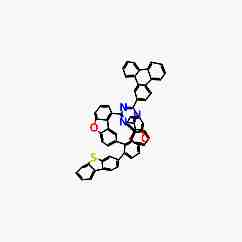 c1ccc(-c2nc(-c3ccc4c5ccccc5c5ccccc5c4c3)nc(-c3cccc4oc5ccc(-c6c(-c7ccc8c(c7)sc7ccccc78)ccc7oc8ccccc8c67)cc5c34)n2)cc1